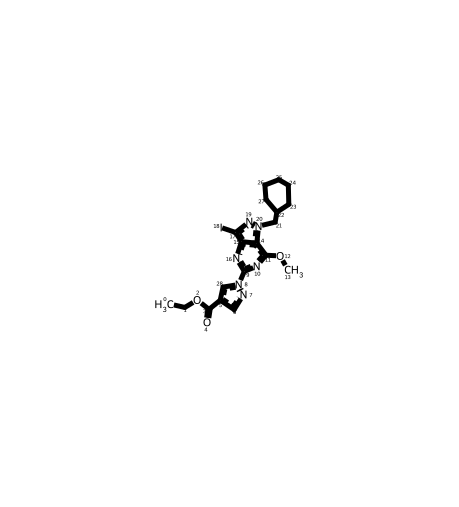 CCOC(=O)c1cnn(-c2nc(OC)c3c(n2)c(I)nn3CC2CCCCC2)c1